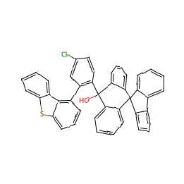 OC1(c2ccc(Cl)cc2-c2cccc3sc4ccccc4c23)c2ccccc2C2(c3ccccc3-c3ccccc32)c2ccccc21